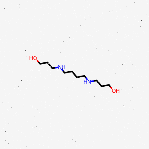 OCCCNCCCCNCCCO